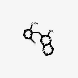 COc1cccc(F)c1Cc1cc2ncccc2nc1N